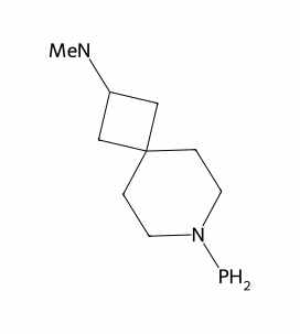 CNC1CC2(CCN(P)CC2)C1